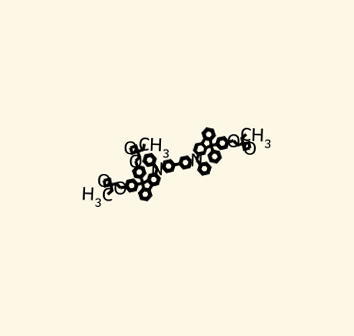 CCC1(COc2ccc(C3(c4ccc(OCC5(CC)COC5)cc4)c4ccccc4-c4ccc(N(c5ccccc5)c5ccc(-c6ccc(N(C7=CC8C(C=C7)c7ccccc7C8(c7ccccc7)c7ccc(OCC8(CC)COC8)cc7)c7ccccc7)cc6)cc5)cc43)cc2)COC1